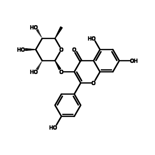 C[C@H]1O[C@@H](Oc2c(-c3ccc(O)cc3)oc3cc(O)cc(O)c3c2=O)[C@H](O)[C@@H](O)[C@@H]1O